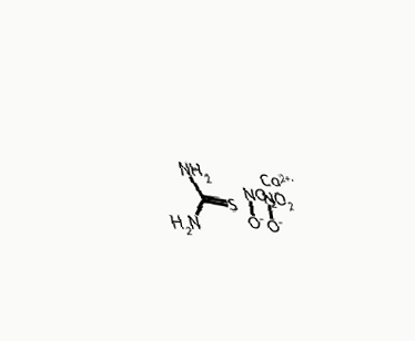 NC(N)=S.O=[N+]([O-])[O-].O=[N+]([O-])[O-].[Co+2]